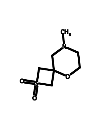 CN1CCOC2(C1)CS(=O)(=O)C2